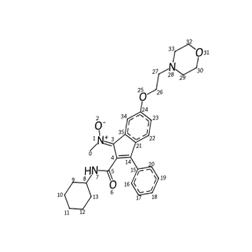 C/[N+]([O-])=C1\C(C(=O)NC2CCCCC2)=C(c2ccccc2)c2ccc(OCCN3CCOCC3)cc21